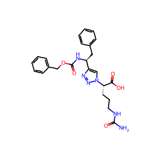 NC(=O)NCCC[C@@H](C(=O)O)n1cc([C@H](Cc2ccccc2)NC(=O)OCc2ccccc2)nn1